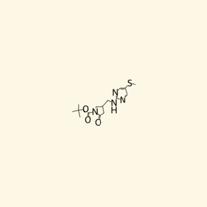 CSc1cnc(NCC2CC(=O)N(C(=O)OC(C)(C)C)C2)nc1